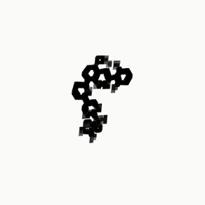 C[C@H]1CCC(c2cccc(-c3cnc(NS(=O)(=O)C(F)F)nc3)n2)c2nnc(-c3c(F)cccc3F)cc21